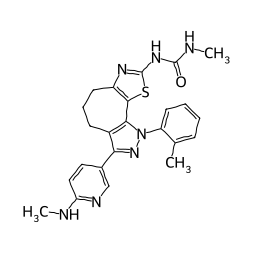 CNC(=O)Nc1nc2c(s1)-c1c(c(-c3ccc(NC)nc3)nn1-c1ccccc1C)CCC2